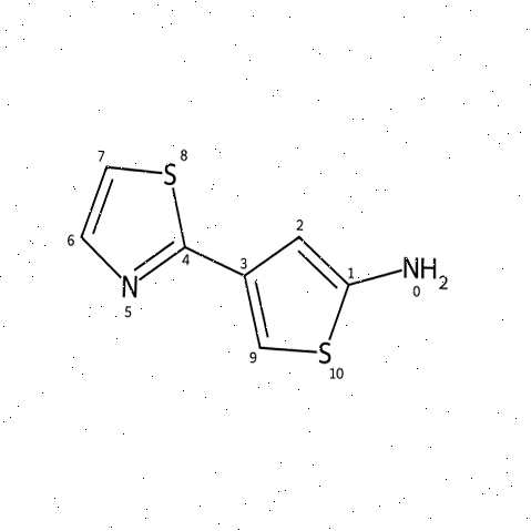 Nc1cc(-c2nccs2)cs1